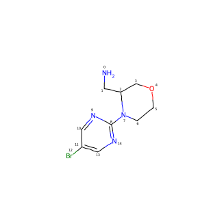 NCC1COCCN1c1ncc(Br)cn1